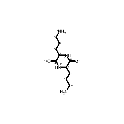 NCCCC1NC(=O)C(CCCN)NC1=O